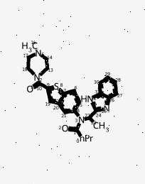 CCCC(=O)N(c1ccc2sc(C(=O)N3CCN(C)CC3)cc2c1)C(C)c1nc2ccccc2[nH]1